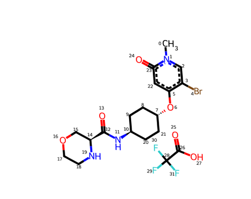 Cn1cc(Br)c(O[C@H]2CC[C@H](NC(=O)[C@@H]3COCCN3)CC2)cc1=O.O=C(O)C(F)(F)F